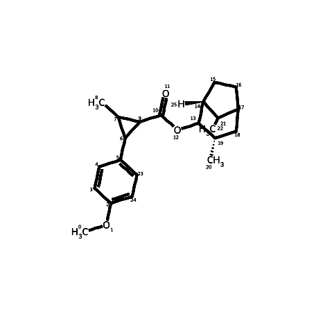 COc1ccc(C2C(C)C2C(=O)OC2[C@@H]3CCC(C[C@@H]2C)C3C)cc1